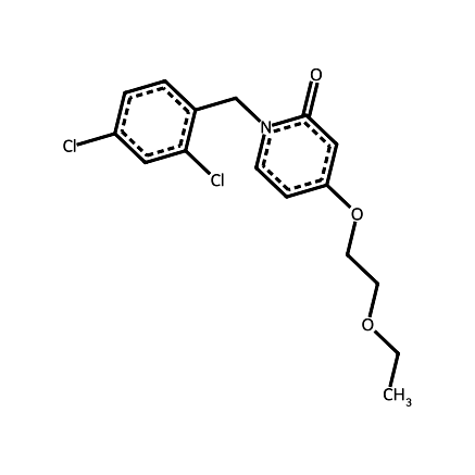 CCOCCOc1ccn(Cc2ccc(Cl)cc2Cl)c(=O)c1